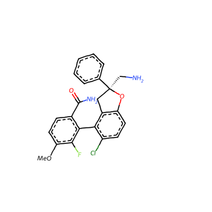 COc1ccc(C(N)=O)c(-c2c(Cl)ccc3c2C[C@@](CN)(c2ccccc2)O3)c1F